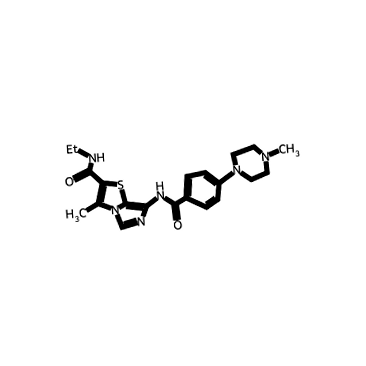 CCNC(=O)c1sc2c(NC(=O)c3ccc(N4CCN(C)CC4)cc3)ncn2c1C